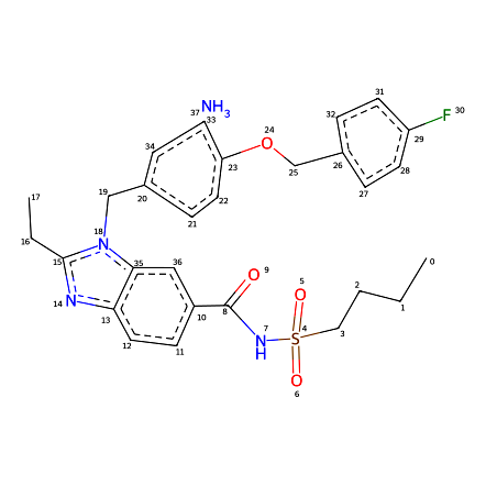 CCCCS(=O)(=O)NC(=O)c1ccc2nc(CC)n(Cc3ccc(OCc4ccc(F)cc4)cc3)c2c1.N